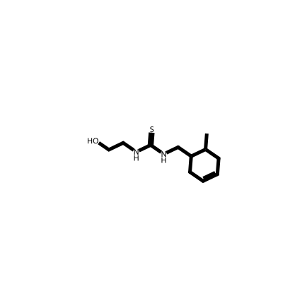 CC1CC=CCC1CNC(=S)NCCO